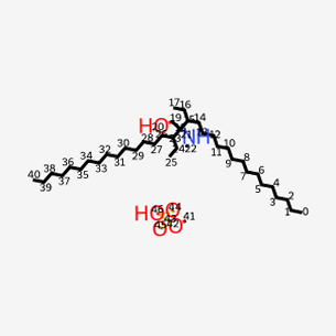 CCCCCCCCCCCCCCCC(CC)C(CO)(NC)C(CC)CCCCCCCCCCCCCCC.COS(=O)(=O)O